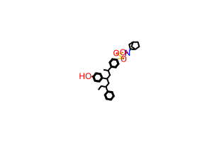 CCC(CC(CC(C)c1ccc(S(=O)(=O)ON=C2CC3CCC2C3)cc1)c1ccc(O)cc1)c1ccccc1